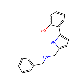 Oc1ccccc1-c1ccc(CNCc2ccccc2)[nH]1